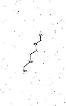 O=NCNCCNCN=O